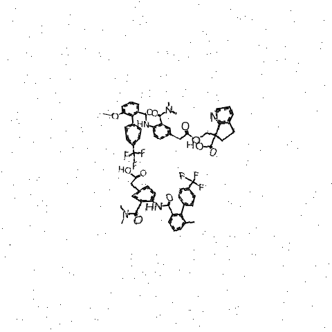 COc1cccc(C(=O)Nc2ccc(CC(=O)OCC3(C(=O)O)CCc4cccnc43)cc2C(=O)N(C)C)c1-c1ccc(C(F)(F)F)cc1.Cc1cccc(C(=O)Nc2ccc(CC(=O)O)cc2C(=O)N(C)C)c1-c1ccc(C(F)(F)F)cc1